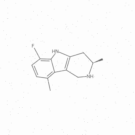 Cc1ccc(F)c2[nH]c3c(c12)CN[C@H](C)C3